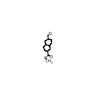 COC(=O)c1ccc2cc(C=O)ccc2c1